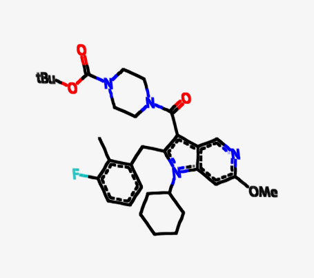 COc1cc2c(cn1)c(C(=O)N1CCN(C(=O)OC(C)(C)C)CC1)c(Cc1cccc(F)c1C)n2C1CCCCC1